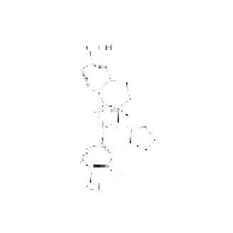 C[C@]12CCc3cc(C(=O)O)ccc3C1=NN(c1ccc(C#N)c(Cl)c1)[C@H]2C1CCCC1